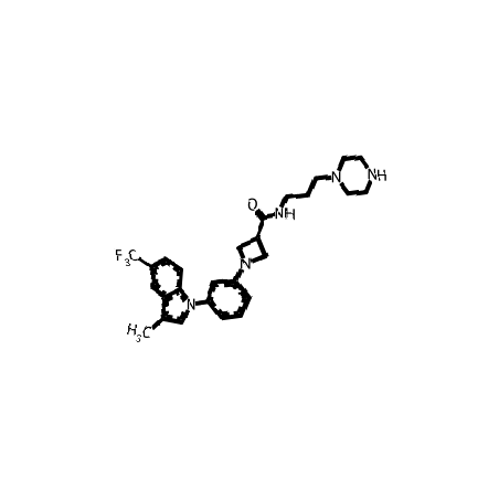 Cc1cn(-c2cccc(N3CC(C(=O)NCCCN4CCNCC4)C3)c2)c2ccc(C(F)(F)F)cc12